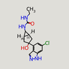 CCNC(=O)NC1[C@H]2CC(O)(c3cc(Cl)cc4[nH]ncc34)C[C@@H]12